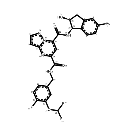 CC(=O)c1ccc2c(c1)C[C@H](O)[C@@H]2NC(=O)c1cc(C(=O)NCc2ccc(F)c(OC(F)F)c2)nc2ccnn12